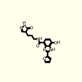 O=C(NCCCC1C=NNC1=O)c1ccc(O)c2[nH]c(-c3ccco3)nc12